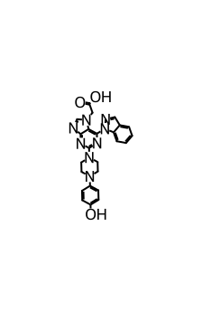 O=C(O)Cn1cnc2nc(N3CCN(c4ccc(O)cc4)CC3)nc(-n3ncc4ccccc43)c21